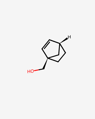 OC[C@]12C=C[C@H](CC1)C2